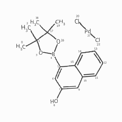 CC1(C)OB(c2cc(O)cc3ccccc23)OC1(C)C.[Cl][Pd][Cl]